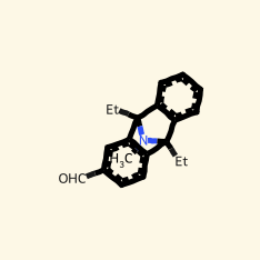 CCC12c3ccccc3C(CC)(c3cc(C=O)ccc31)N2C